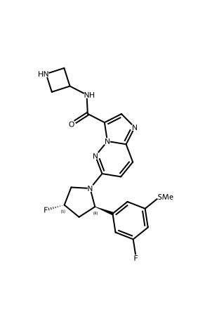 CSc1cc(F)cc([C@H]2C[C@H](F)CN2c2ccc3ncc(C(=O)NC4CNC4)n3n2)c1